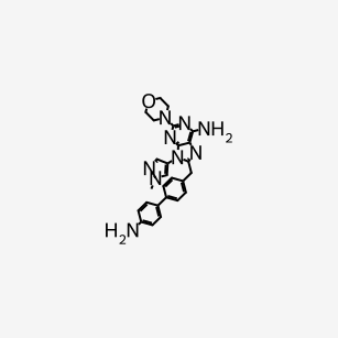 Cn1cc(-n2c(Cc3ccc(-c4ccc(N)cc4)cc3)nc3c(N)nc(N4CCOCC4)nc32)cn1